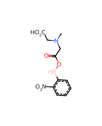 CN(CC(=O)O)CC(=O)OBc1ccccc1[N+](=O)[O-]